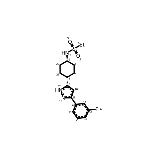 CCS(=O)(=O)N[C@H]1CC[C@H](c2cc(-c3cccc(F)c3)n[nH]2)CC1